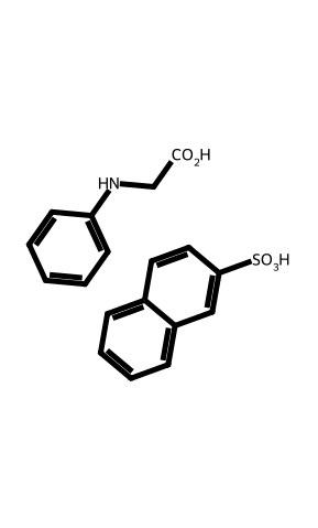 O=C(O)CNc1ccccc1.O=S(=O)(O)c1ccc2ccccc2c1